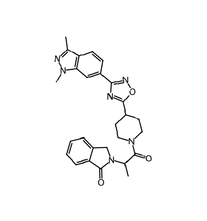 Cc1nn(C)c2cc(-c3noc(C4CCN(C(=O)C(C)N5Cc6ccccc6C5=O)CC4)n3)ccc12